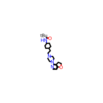 CC(C)(C)C(=O)NC1CCC(CCN2CCN(c3nccc4c3CCO4)CC2)CC1